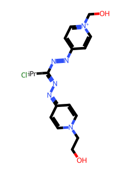 CC(C)C(N=Nc1cc[n+](CO)cc1)=NN=c1ccn(CCO)cc1.[Cl-]